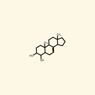 CC12CCCC1C1=CCC3C(O)C(O)CCC3(C)C1CC2